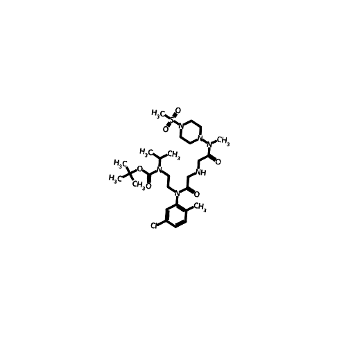 Cc1ccc(Cl)cc1N(CCN(C(=O)OC(C)(C)C)C(C)C)C(=O)CNCC(=O)N(C)N1CCN(S(C)(=O)=O)CC1